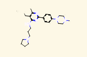 COCc1c(C)nc(-c2ccc(N3CCN(C)CC3)cc2)nc1NCCCN1CCCC1